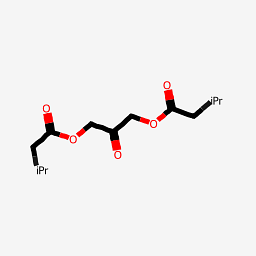 CC(C)CC(=O)OCC(=O)COC(=O)CC(C)C